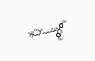 CS[C@]1(c2ccc(O)cc2)COc2cc(O)ccc2[C@H]1CCCCCCCC[C@H](CCCC(F)(F)C(F)(F)F)C(=O)O